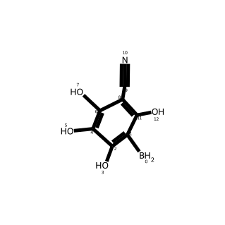 Bc1c(O)c(O)c(O)c(C#N)c1O